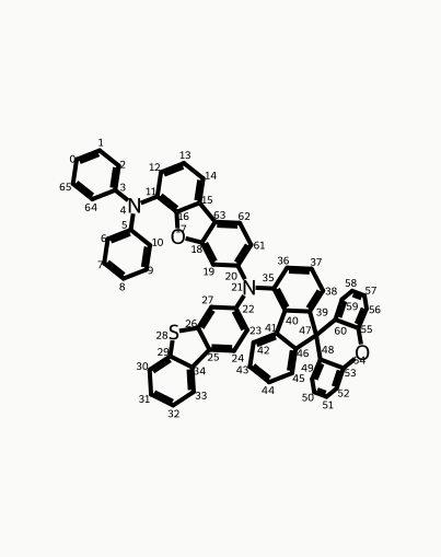 c1ccc(N(c2ccccc2)c2cccc3c2oc2cc(N(c4ccc5c(c4)sc4ccccc45)c4cccc5c4-c4ccccc4C54c5ccccc5Oc5ccccc54)ccc23)cc1